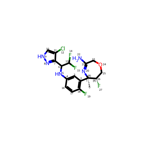 C[C@]1(c2cc(NC(c3n[nH]cc3Cl)C(F)F)ccc2F)N=C(N)COC[C@@H]1F